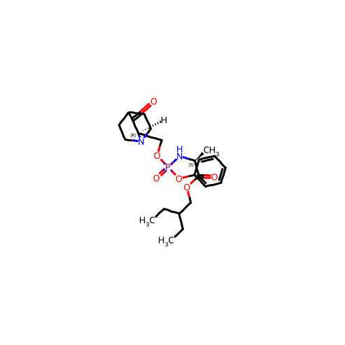 CCC(CC)COC(=O)[C@H](C)NP(=O)(OC[C@@H]1C(=O)C2CCN1CC2)Oc1ccccc1